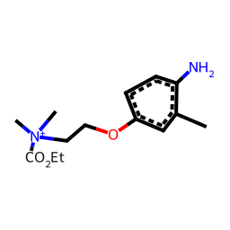 CCOC(=O)[N+](C)(C)CCOc1ccc(N)c(C)c1